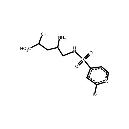 CC(CC(N)CNS(=O)(=O)c1ccnc(Br)c1)C(=O)O